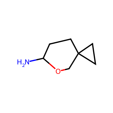 NC1CCC2(CC2)CO1